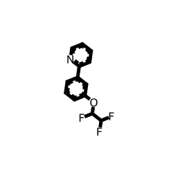 FC(F)C(F)Oc1cccc(-c2ccccn2)c1